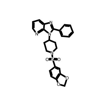 O=S(=O)(c1ccc2c(c1)OCO2)N1CCC(n2c(-c3ccccc3)nc3cccnc32)CC1